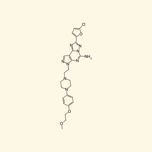 COCCOc1ccc(N2CCN(CCn3ncc4c3nc(N)n3nc(-c5ccc(Cl)o5)nc43)CC2)cc1